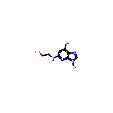 CC(C)c1cc(NCCO)nc2c1ncn2C(C)C